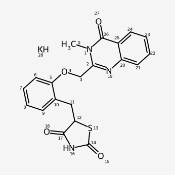 Cn1c(COc2ccccc2CC2SC(=O)NC2=O)nc2ccccc2c1=O.[KH]